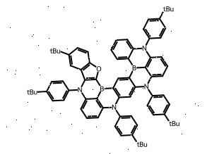 CC(C)(C)c1ccc(N2c3ccccc3B3c4cc5c(cc4N(c4ccc(C(C)(C)C)cc4)c4cccc2c43)N(c2ccc(C(C)(C)C)cc2)c2cccc3c2B5c2oc4ccc(C(C)(C)C)cc4c2N3c2ccc(C(C)(C)C)cc2)cc1